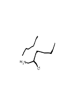 CCCC.CCCC(N)Cl